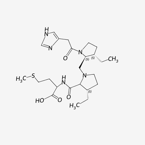 CC[C@H]1CCN(C[C@@H]2[C@@H](CC)CCN2C(=O)Cc2c[nH]cn2)C1C(=O)NC(CCSC)C(=O)O